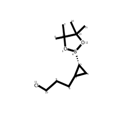 CC1(C)OB([C@@H]2CC2CCCCl)OC1(C)C